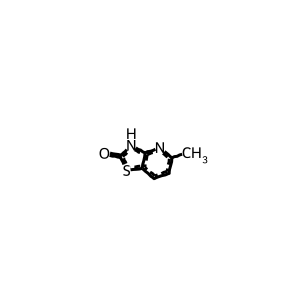 Cc1ccc2sc(=O)[nH]c2n1